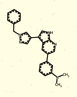 CN(C)c1cccc(-c2cnc3[nH]cc(-c4cnn(Cc5ccccc5)c4)c3c2)c1